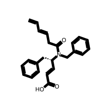 C=CC=CCC(=O)N(Cc1ccccc1)[C@H](/C=C/C(=O)O)Cc1ccccc1